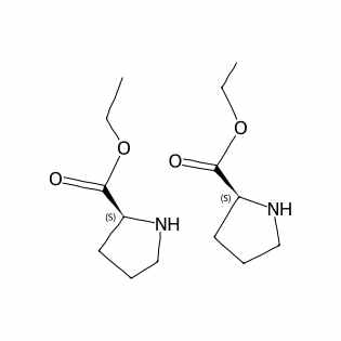 CCOC(=O)[C@@H]1CCCN1.CCOC(=O)[C@@H]1CCCN1